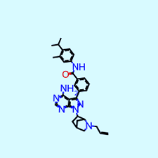 C=CCN1CC2CC1C(n1nc(-c3cccc(C(=O)Nc4ccc(C(C)C)c(C)c4)c3)c3c(N)ncnc31)C2